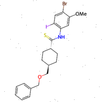 COc1cc(NC(=S)[C@H]2CC[C@H](COCc3ccccc3)CC2)c(I)cc1Br